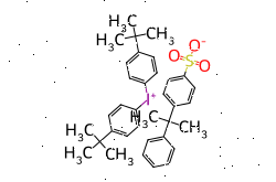 CC(C)(C)c1ccc([I+]c2ccc(C(C)(C)C)cc2)cc1.CC(C)(c1ccccc1)c1ccc(S(=O)(=O)[O-])cc1